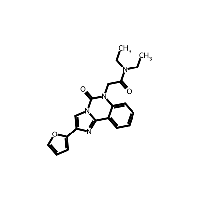 CCN(CC)C(=O)Cn1c(=O)n2cc(-c3ccco3)nc2c2ccccc21